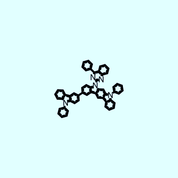 c1ccc(-c2nc(-n3c4ccc(-c5ccc6c(c5)c5ccccc5n6-c5ccccc5)cc4c4cc5c6ccccc6n(-c6ccccc6)c5cc43)nc3ccccc23)cc1